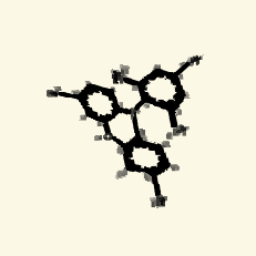 CC(C)c1cc(C(C)C)c(B2c3ccc(Br)cc3Oc3cc(Br)ccc32)c(C(C)C)c1